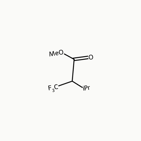 COC(=O)C(C(C)C)C(F)(F)F